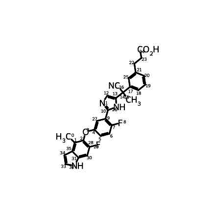 Cc1c(Oc2ccc(F)c(-c3ncc(C(C)(C#N)c4cccc(CCC(=O)O)c4)[nH]3)c2)c(F)cc2[nH]ccc12